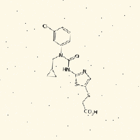 O=C(O)CSc1cnc(NC(=O)N(CC2CC2)c2cccc(Cl)c2)s1